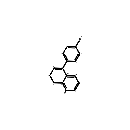 Fc1ccc(C2=CCCc3ncccc32)cc1